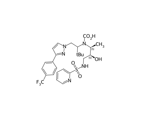 C[C@@H]([C@@H](O)CNS(=O)(=O)c1ccccn1)N(C(=O)O)C(Cn1ccc(-c2ccc(C(F)(F)F)cc2)n1)C(C)(C)C